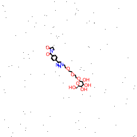 O=C1CCN1C(=O)c1ccc(-c2cn(CCOCCOCCOC3O[C@H](CO)[C@@H](O)[C@H](O)[C@@H]3O)nn2)cc1